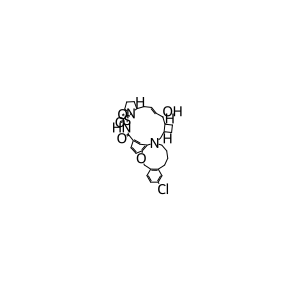 O=C1NS(=O)(=O)N2CCC[C@@H]2C/C=C/[C@H](O)[C@@H]2CC[C@H]2CN2CCCCc3cc(Cl)ccc3COc3ccc1cc32